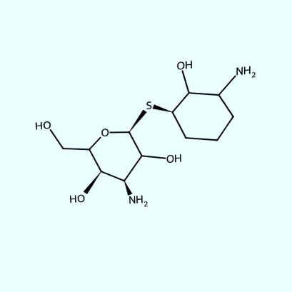 NC1CCC[C@@H](S[C@@H]2OC(CO)[C@H](O)[C@H](N)C2O)C1O